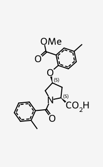 COC(=O)c1cc(C)ccc1O[C@H]1C[C@@H](C(=O)O)N(C(=O)c2ccccc2C)C1